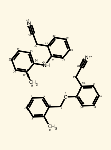 Cc1ccccc1COc1ccccc1CC#N.Cc1ccccc1Nc1ccccc1CC#N